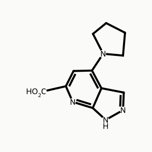 O=C(O)c1cc(N2CCCC2)c2cn[nH]c2n1